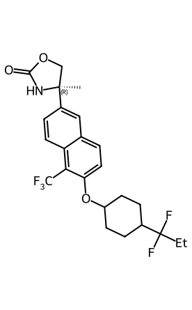 CCC(F)(F)C1CCC(Oc2ccc3cc([C@]4(C)COC(=O)N4)ccc3c2C(F)(F)F)CC1